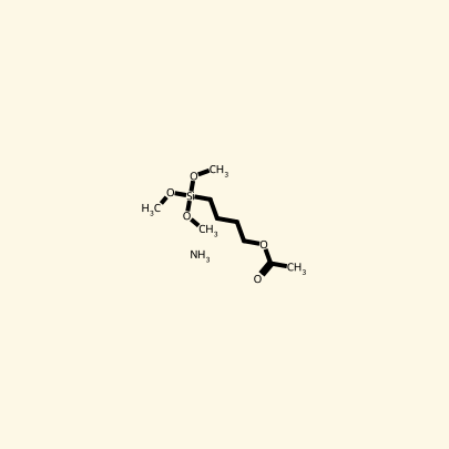 CO[Si](CCCCOC(C)=O)(OC)OC.N